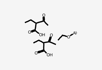 CCC(C(C)=O)C(=O)O.CCC(C(C)=O)C(=O)O.CC[O][Al]